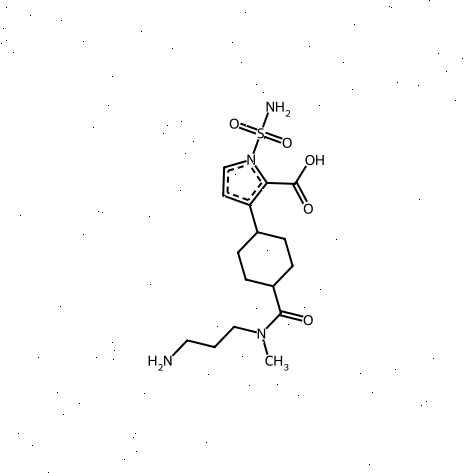 CN(CCCN)C(=O)C1CCC(c2ccn(S(N)(=O)=O)c2C(=O)O)CC1